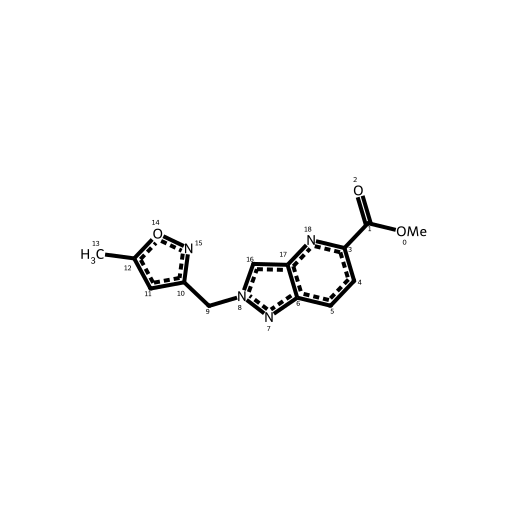 COC(=O)c1ccc2nn(Cc3cc(C)on3)cc2n1